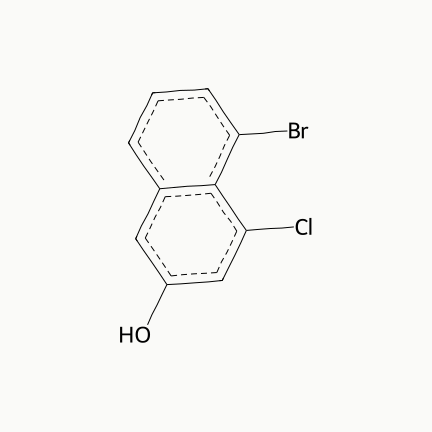 Oc1cc(Cl)c2c(Br)cccc2c1